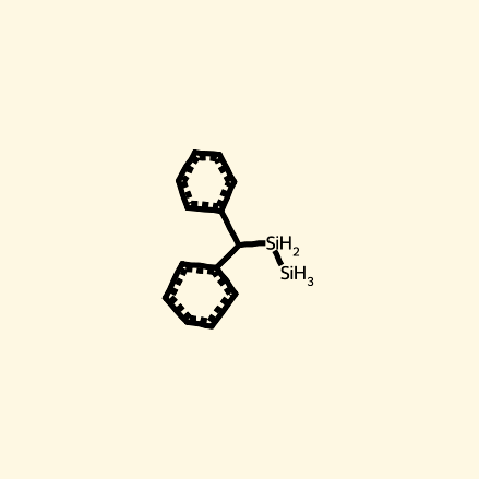 [SiH3][SiH2]C(c1ccccc1)c1ccccc1